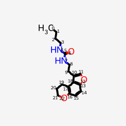 CCCCNC(=O)NCCc1coc2ccc3c(c12)CCCO3